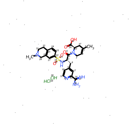 CC1=CCN(C(=O)[C@H](Cc2ccnc(C(=N)N)c2)NS(=O)(=O)c2ccc3c(c2)CN(C)CC3)[C@@H](C(=O)O)C1.Cl.Cl